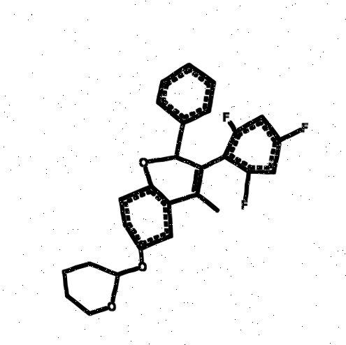 CC1=C(c2c(F)cc(F)cc2F)C(c2ccccc2)Oc2ccc(OC3CCCCO3)cc21